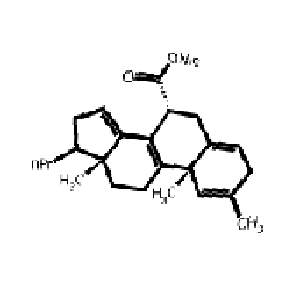 CCCC1CC=C2C3=C(CC[C@@]21C)[C@@]1(C)C=C(C)CC=C1C[C@H]3C(=O)OC